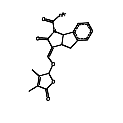 CCCC(=O)N1C(=O)/C(=C/OC2OC(=O)C(C)=C2C)C2Cc3ccccc3C21